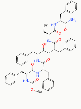 CC(C)C[C@H](NC(=O)C(Cc1ccccc1)CC(O)C(Cc1ccccc1)NC(=O)[C@H](Cc1ccccc1)NC(=O)[C@H](Cc1ccccc1)NC(=O)OC(C)(C)C)C(=O)N[C@@H](Cc1ccccc1)C(N)=O